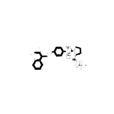 COc1cnc2ccccc2c1COc1ccc(S(=O)(=O)N2CCC[C@@H]2C(=O)NO)cc1